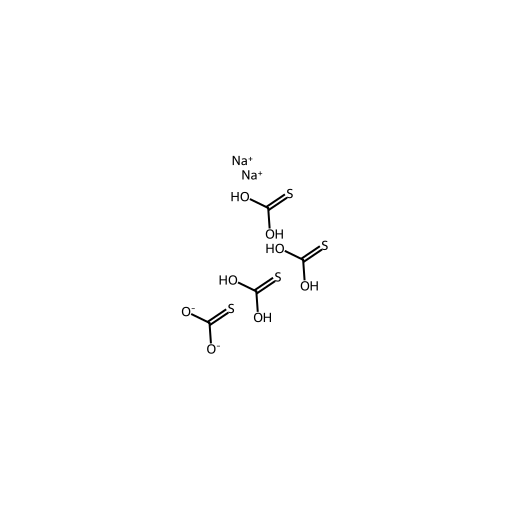 OC(O)=S.OC(O)=S.OC(O)=S.[Na+].[Na+].[O-]C([O-])=S